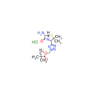 CC(C)(C)C(=O)OCn1nnc(C2N3C(=O)C(N)[C@H]3SC2(C)C)n1.Cl